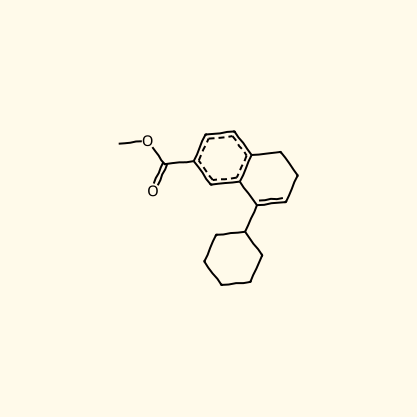 COC(=O)c1ccc2c(c1)C(C1CCCCC1)=CCC2